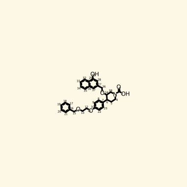 O=C(O)N1CCC(c2ccc(OCCOCc3ccccc3)cc2)C(OCc2cc(O)c3ccccc3c2)C1